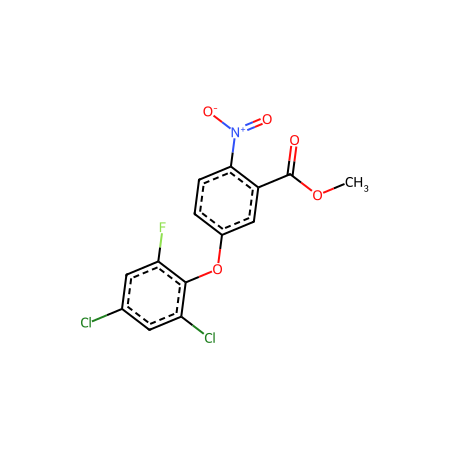 COC(=O)c1cc(Oc2c(F)cc(Cl)cc2Cl)ccc1[N+](=O)[O-]